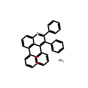 [AlH3].c1ccc(-c2nc3cccc(-c4ccccc4)c3c(-c3ccccc3)c2-c2ccccc2)cc1